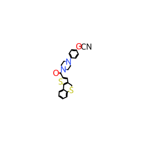 N#COc1ccc(N2CCN(C(=O)c3cc4c(s3)-c3ccccc3SC4)CC2)cc1